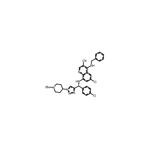 CC(C)(C)N1CCC(n2cc([C@@H](Nc3cc(Cl)cc4c(NCc5ccccc5)c(C#N)cnc34)c3ccc(Cl)cc3)nn2)CC1